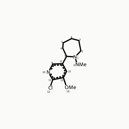 CNN1CCCCCC1c1cnc(Cl)c(OC)c1